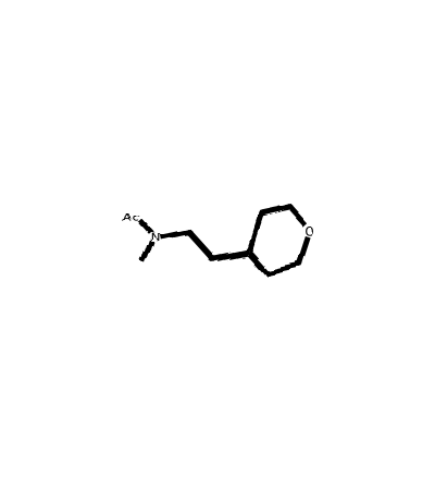 CC(=O)N(C)CCC1CCOCC1